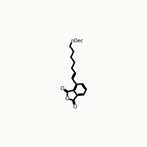 CCCCCCCCCCCCCCCC=Cc1cccc2c1C(=O)OC2=O